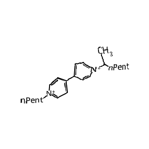 CCCCCC(C)[n+]1ccc(-c2cc[n+](CCCCC)cc2)cc1